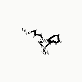 CCCC[n+]1nn(C)c2ccccc21